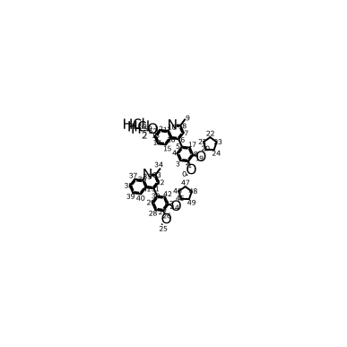 COc1ccc(-c2cc(C)nc3ccccc23)cc1OC1CCCC1.COc1ccc(-c2cc(C)nc3ccccc23)cc1OC1CCCC1.Cl.Cl.O